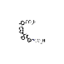 Cc1ccc(C(=O)O)cc1-c1ccc2ccc(-c3cc(C)c(-c4cccc(/C=C/C(=O)O)c4)c4ccccc34)cc2c1